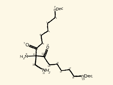 CCCCCCCCCCCCCCCC(=O)C(N)(CN)C(=O)CCCCCCCCCCCCCCC